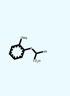 CCCC(Sc1ccccc1OC)C(=O)O